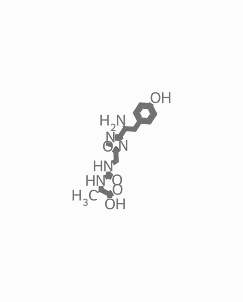 C[C@H](NC(=O)NCc1nc([C@@H](N)Cc2ccc(O)cc2)no1)C(=O)O